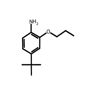 CCCOc1cc(C(C)(C)C)ccc1N